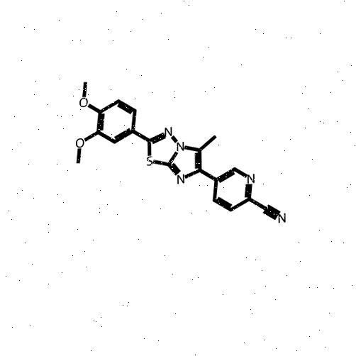 COc1ccc(-c2nn3c(C)c(-c4ccc(C#N)nc4)nc3s2)cc1OC